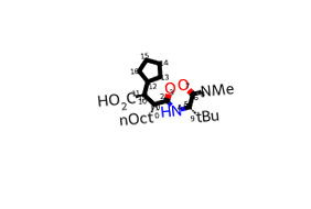 CCCCCCCC[C@@H](C(=O)N[C@H](C(=O)NC)C(C)(C)C)[C@@H](C(=O)O)C1CCCC1